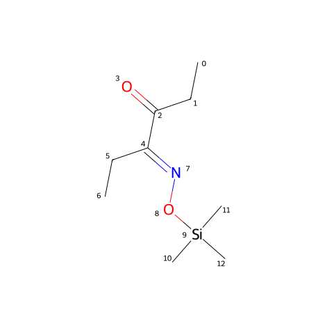 CCC(=O)C(CC)=NO[Si](C)(C)C